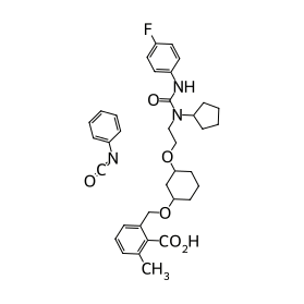 Cc1cccc(COC2CCCC(OCCN(C(=O)Nc3ccc(F)cc3)C3CCCC3)C2)c1C(=O)O.O=C=Nc1ccccc1